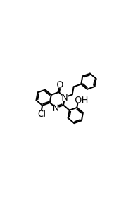 O=c1c2cccc(Cl)c2nc(-c2ccccc2O)n1CCc1ccccc1